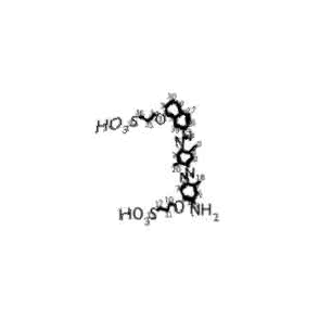 Cc1cc(N=Nc2cc(OCCCS(=O)(=O)O)c(N)cc2C)c(C)cc1N=Nc1ccc2cccc(OCCCS(=O)(=O)O)c2c1